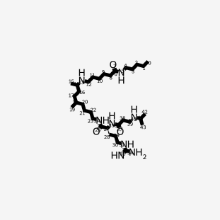 CCCCCNC(=O)CCCCCNC(C)CCC(C)CCCCNC(=O)[C@@H](CCCNC(=N)N)NC(=O)CCNC(C)C